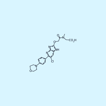 CN(CC(=O)O)C(=O)COc1nc2nc(-c3ccc(N4CCOCC4)cc3)c(Cl)cc2[nH]1